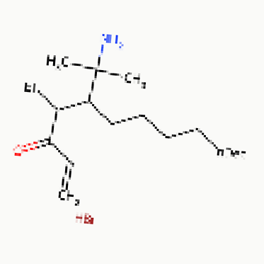 Br.C=CC(=O)C(CC)C(CCCCCCCCCCCCCC)C(C)(C)N